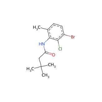 Cc1ccc(Br)c(Cl)c1NC(=O)CC(C)(C)C